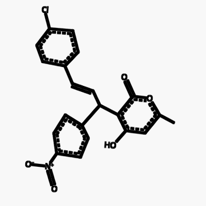 Cc1cc(O)c(C(C=Cc2ccc(Cl)cc2)c2ccc([N+](=O)[O-])cc2)c(=O)o1